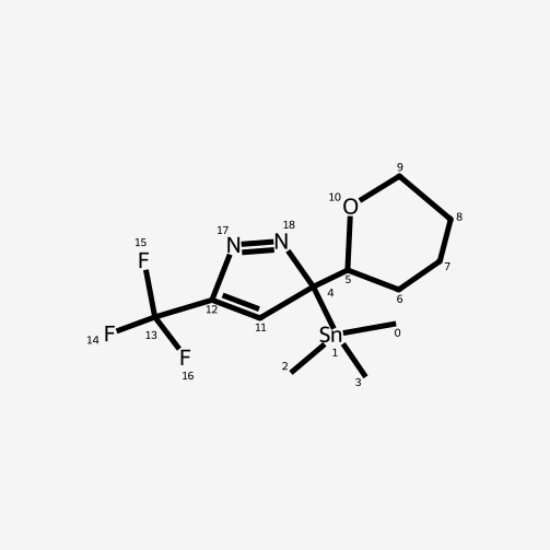 [CH3][Sn]([CH3])([CH3])[C]1(C2CCCCO2)C=C(C(F)(F)F)N=N1